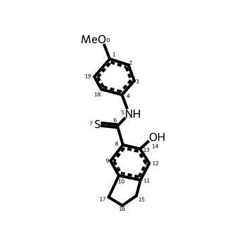 COc1ccc(NC(=S)c2cc3c(cc2O)CCC3)cc1